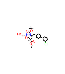 CCOC(=O)C(C)(COCCO)C[C@@H](Cc1ccc(-c2cccc(Cl)c2)cc1)NC(=O)OC(C)(C)C